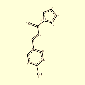 O=C(C=Cc1ccc(O)cc1)c1ccco1